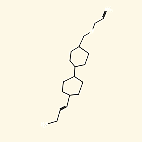 C=CCOCC1CCC(C2CCC(C=CCC)CC2)CC1